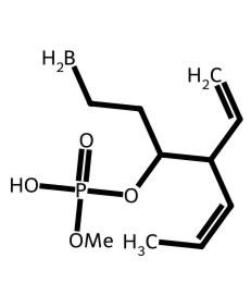 BCCC(OP(=O)(O)OC)C(C=C)/C=C\C